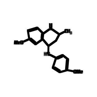 COc1ccc(NC2CC(C)Nc3ccc(OC)cc32)cc1